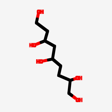 OCCC(O)CC(O)CCC(O)CO